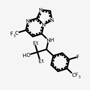 CCC(O)(CC)C(Nc1cc(C(F)(F)F)nc2ncnn12)c1ccc(C(F)(F)F)c(F)c1